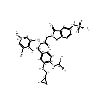 CS(=O)(=O)Nc1ccc2c(c1)C(=O)N(CC(=O)O[C@@H](Cc1c(Cl)c[n+]([O-])cc1Cl)c1ccc(OC(F)F)c(OCC3CC3)c1)C2